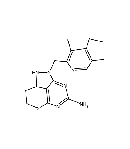 CCc1c(C)cnc(CN2NC3CCSc4nc(N)nc2c43)c1C